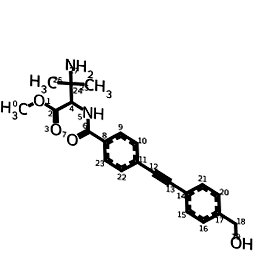 COC(=O)C(NC(=O)c1ccc(C#Cc2ccc(CO)cc2)cc1)C(C)(C)N